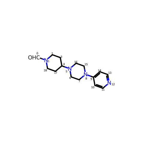 O=CN1CCC(N2CCN(c3ccncc3)CC2)CC1